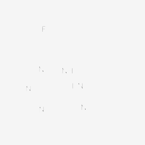 Cn1cc(-c2nc3ccccc3[nH]2)c2c(Nc3cccc(F)c3F)ncnc21